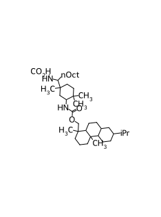 CCCCCCCCC(NC(=O)O)C1(C)CCC(C)(C)C(NC(=O)OCC2(C)CCCC3(C)C4CCC(C(C)C)CC4CCC23)C1